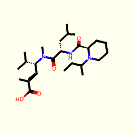 CCC(C)N1CCCC[C@@H]1C(=O)N[C@@H](CC(C)C)C(=O)N(C)[C@H](/C=C(\C)C(=O)O)C(C)C